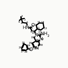 CC(C)(C)CCNC(=O)C[C@@H](C1CCCCC1)N1Cc2cc(Oc3ccccc3)ncc2N=C1N